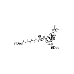 CCCCCCCCCCCCCCCCCCC(=O)OC[C@H](COP(=O)([O-])OCC[N+](C)(C)C)OC(=O)CCCCCCCCCCCC